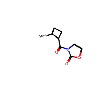 CSC1CCC1C(=O)N1CCOC1=O